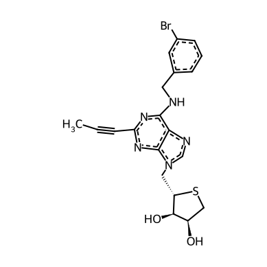 CC#Cc1nc(NCc2cccc(Br)c2)c2ncn(C[C@@H]3SC[C@@H](O)[C@H]3O)c2n1